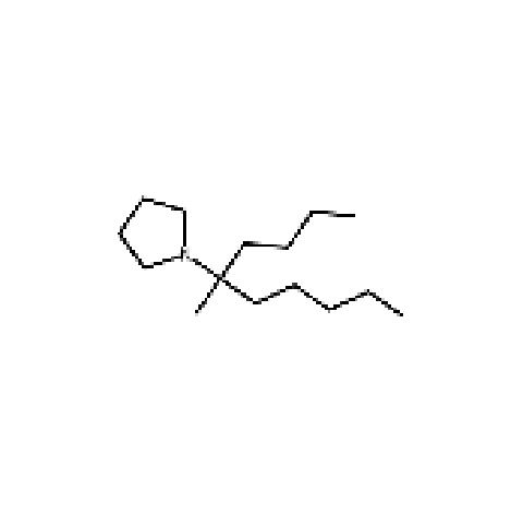 CCCCCC(C)(CCCC)N1CCCC1